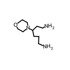 NCCCC(CCN)N1CCOCC1